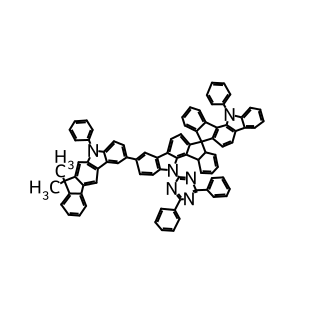 CC1(C)c2ccccc2-c2cc3c4cc(-c5ccc6c(c5)c5ccc7c(c5n6-c5nc(-c6ccccc6)nc(-c6ccccc6)n5)C5C=CC=CC5C75c6ccccc6-c6c5ccc5c7ccccc7n(-c7ccccc7)c65)ccc4n(-c4ccccc4)c3cc21